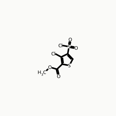 COC(=O)c1scc(S(=O)(=O)Cl)c1Cl